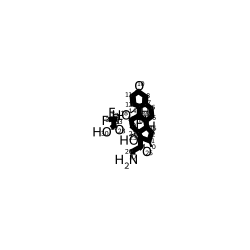 C[C@@H]1C[C@H]2[C@@H]3CCC4=CC(=O)C=C[C@]4(C)[C@@]3(F)[C@@H](O)C[C@]2(C)[C@@]1(O)C(=O)CN.O=C(O)C(F)(F)F